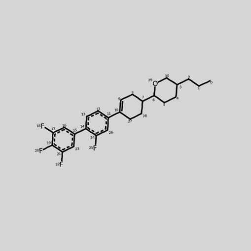 CCCC1CCC(C2CC=C(c3ccc(-c4cc(F)c(F)c(F)c4)c(F)c3)CC2)OC1